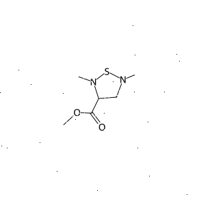 COC(=O)C1CN(C)SN1C